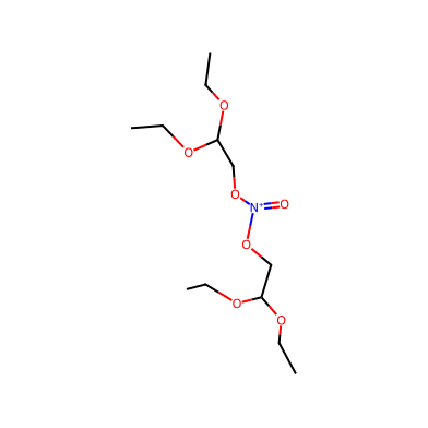 CCOC(CO[N+](=O)OCC(OCC)OCC)OCC